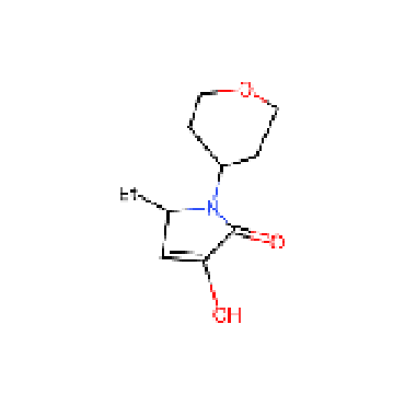 CCC1C=C(O)C(=O)N1C1CCOCC1